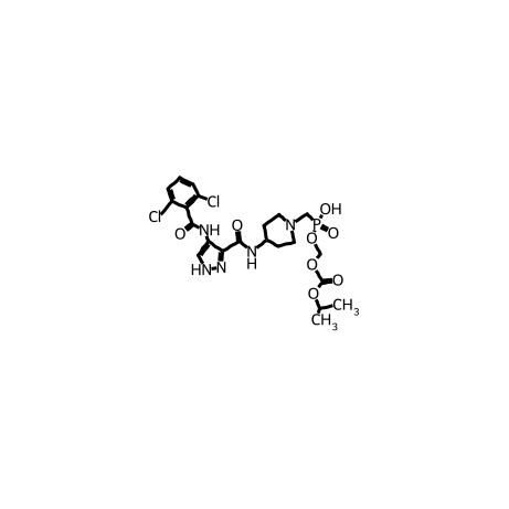 CC(C)OC(=O)OCOP(=O)(O)CN1CCC(NC(=O)c2n[nH]cc2NC(=O)c2c(Cl)cccc2Cl)CC1